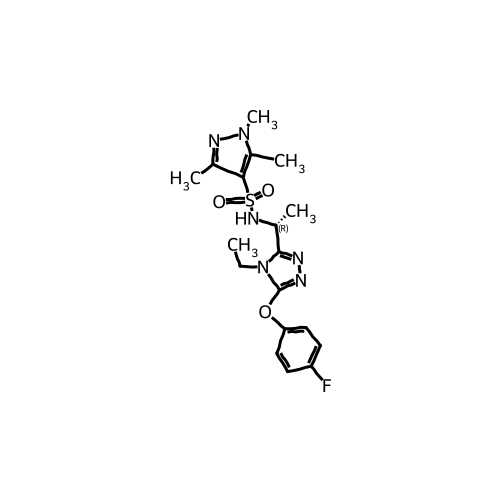 CCn1c(Oc2ccc(F)cc2)nnc1[C@@H](C)NS(=O)(=O)c1c(C)nn(C)c1C